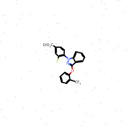 CCOC(=O)c1ccc(-n2nc(Oc3ccccc3C(F)(F)F)c3ccccc32)c(F)c1